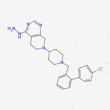 NNc1ncnc2c1CCN(C1CCN(Cc3ccccc3-c3ccc(Cl)cc3)CC1)C2